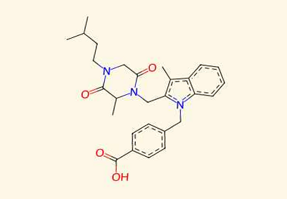 Cc1c(CN2C(=O)CN(CCC(C)C)C(=O)C2C)n(Cc2ccc(C(=O)O)cc2)c2ccccc12